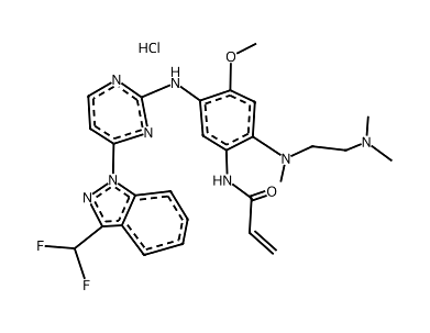 C=CC(=O)Nc1cc(Nc2nccc(-n3nc(C(F)F)c4ccccc43)n2)c(OC)cc1N(C)CCN(C)C.Cl